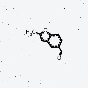 Cc1cc2cc(C=O)ccc2o1